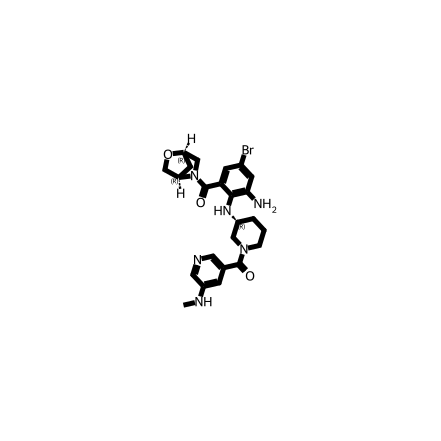 CNc1cncc(C(=O)N2CCC[C@@H](Nc3c(N)cc(Br)cc3C(=O)N3C[C@H]4C[C@@H]3CO4)C2)c1